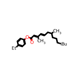 CCc1ccc(OC(=O)/C=C(C)/C=C/CC(C)CCCC(C)CC)cc1